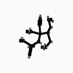 CCC(CC)C(C)(C#N)O[PH](=O)O